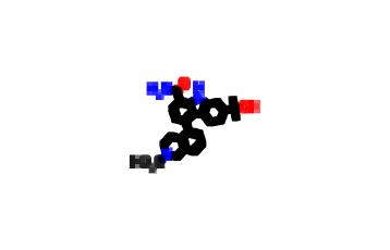 CC(C)(O)C1CCc2c([nH]c3c(C(N)=O)ccc(-c4cccc5c4CCN(C(=O)O)C5)c23)C1